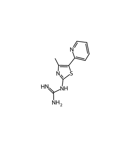 Cc1nc(NC(=N)N)sc1-c1ccccn1